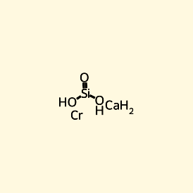 O=[Si](O)O.[CaH2].[Cr]